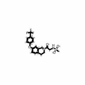 CS(=O)(=O)NCC(=O)N1CCc2ccc(Oc3ccc(C(F)(F)F)cc3)cc2C1